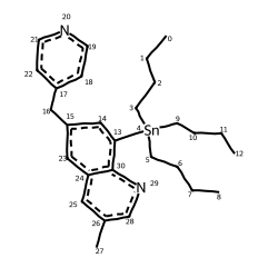 CCC[CH2][Sn]([CH2]CCC)([CH2]CCC)[c]1cc(Cc2ccncc2)cc2cc(C)cnc12